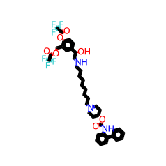 O=C(Nc1ccccc1-c1ccccc1)OC1CCN(CCCCCCCCCNC[C@H](O)c2ccc(OC(=O)C(F)(F)F)c(COC(=O)C(F)(F)F)c2)CC1